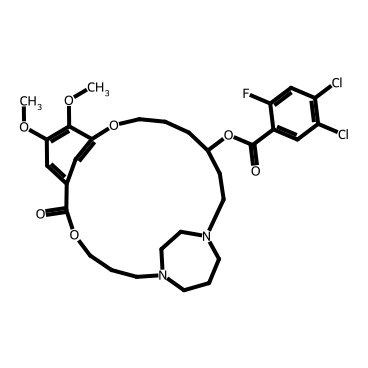 COc1cc2cc(c1OC)OCCCC(OC(=O)c1cc(Cl)c(Cl)cc1F)CCN1CCCN(CCCOC2=O)CC1